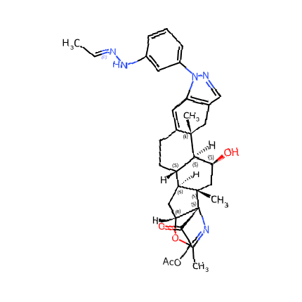 C/C=N/Nc1cccc(-n2ncc3c2C=C2CC[C@@H]4[C@H]([C@@H](O)C[C@@]5(C)[C@H]4C[C@H]4OC(C)=N[C@]45C(=O)COC(C)=O)[C@@]2(C)C3)c1